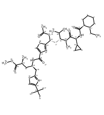 CCN1CCCC[C@@H]1C(=O)N[C@H](C(=O)N(C)[C@H](C[C@@H](OC(C)=O)c1nc(C(=O)N[C@@H](Cc2nc(C(F)(F)F)cs2)C[C@H](C)C(=O)OC)cs1)C(C)C)C1CC1